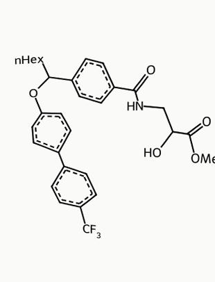 CCCCCCC(Oc1ccc(-c2ccc(C(F)(F)F)cc2)cc1)c1ccc(C(=O)NCC(O)C(=O)OC)cc1